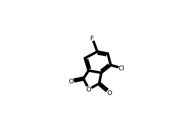 O=C1OC(=O)c2c(Cl)cc(F)cc21